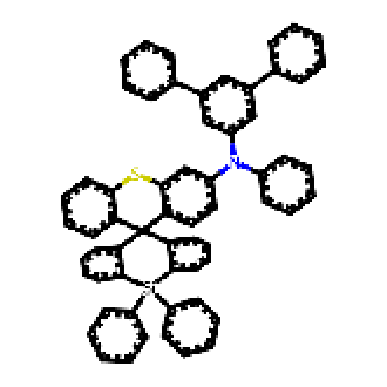 c1ccc(-c2cc(-c3ccccc3)cc(N(c3ccccc3)c3ccc4c(c3)Sc3ccccc3C43c4ccccc4[Si](c4ccccc4)(c4ccccc4)c4ccccc43)c2)cc1